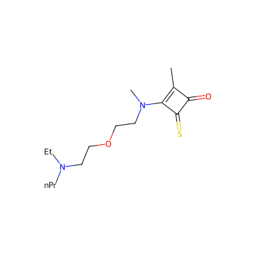 CCCN(CC)CCOCCN(C)c1c(C)c(=O)c1=S